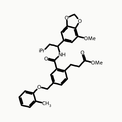 COC(=O)CCc1ccc(COc2ccccc2C)cc1C(=O)NC(CC(C)C)c1cc(OC)c2c(c1)OCO2